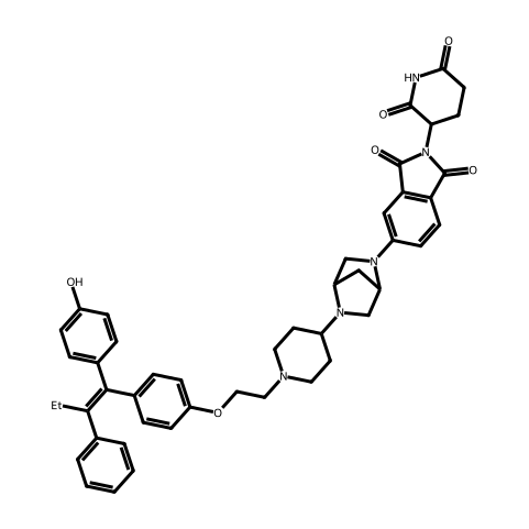 CC/C(=C(\c1ccc(O)cc1)c1ccc(OCCN2CCC(N3CC4CC3CN4c3ccc4c(c3)C(=O)N(C3CCC(=O)NC3=O)C4=O)CC2)cc1)c1ccccc1